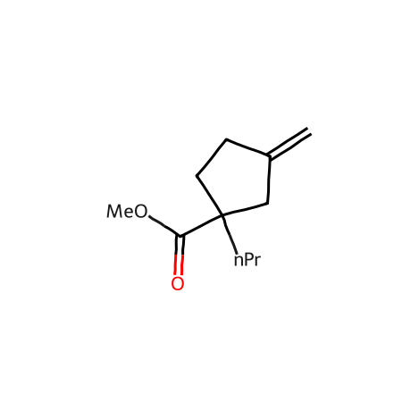 C=C1CCC(CCC)(C(=O)OC)C1